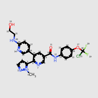 Cn1nccc1-c1ncc(C(=O)Nc2ccc(OC(F)(F)Cl)cc2)cc1-c1ccc(NCCO)nc1